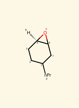 CCCC1CC[C@H]2OC2C1